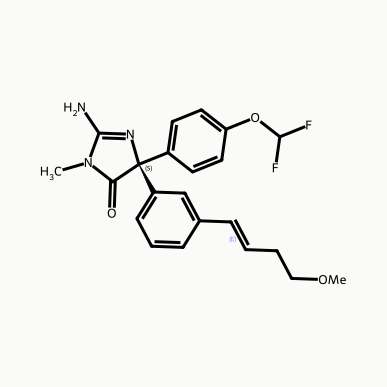 COCC/C=C/c1cccc([C@]2(c3ccc(OC(F)F)cc3)N=C(N)N(C)C2=O)c1